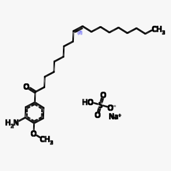 CCCCCCCC/C=C\CCCCCCCC(=O)c1ccc(OC)c(N)c1.O=S(=O)([O-])O.[Na+]